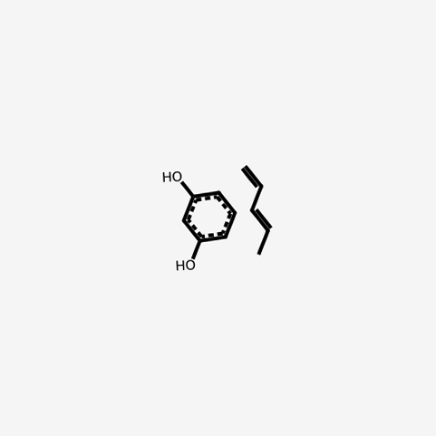 C=CC=CC.Oc1cccc(O)c1